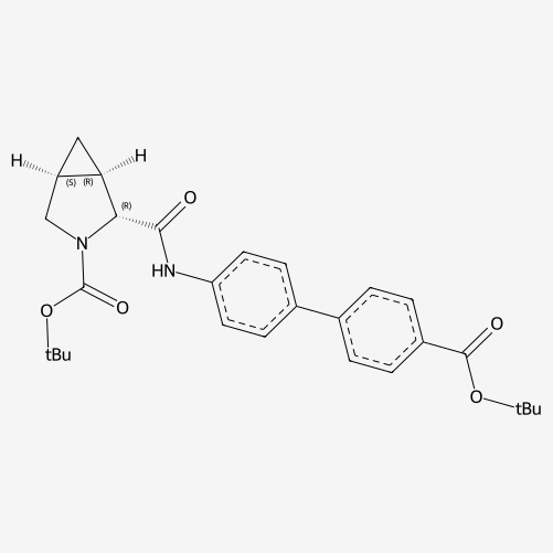 CC(C)(C)OC(=O)c1ccc(-c2ccc(NC(=O)[C@H]3[C@@H]4C[C@@H]4CN3C(=O)OC(C)(C)C)cc2)cc1